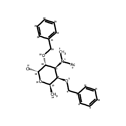 CC(=O)N(C)[C@H]1[C@@H](OCc2ccccc2)[C@@H](C)O[C@H](Cl)[C@@H]1OCc1ccccc1